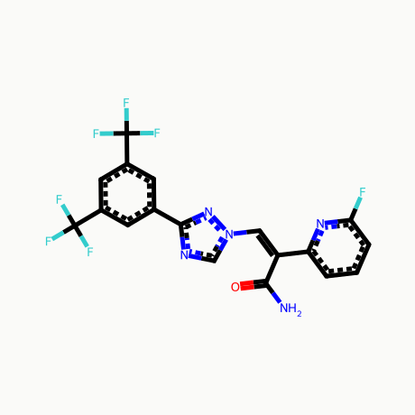 NC(=O)C(=Cn1cnc(-c2cc(C(F)(F)F)cc(C(F)(F)F)c2)n1)c1cccc(F)n1